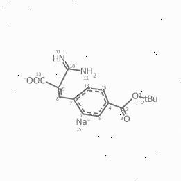 CC(C)(C)OC(=O)c1ccc(C=C(C(=N)N)C(=O)[O-])cc1.[Na+]